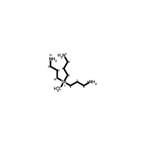 [CH3][Sn]([CH2]CCN)([CH2]CCN)[CH2]CCN